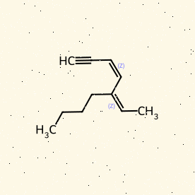 C#C/C=C\C(=C/C)CCCC